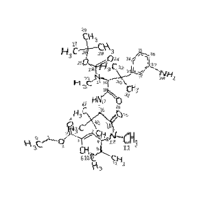 CCOC(=O)/C(C)=C/[C@H](C(C)C)N(C)C(=O)[C@@H](NC(=O)[C@@H](N(C)C(=O)OC(C)(C)C)C(C)(C)c1cccc(N)c1)C(C)(C)C